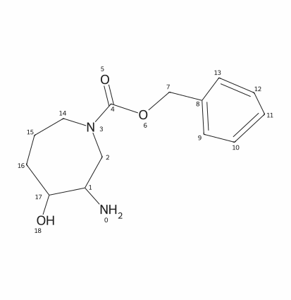 NC1CN(C(=O)OCc2ccccc2)CCCC1O